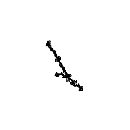 CCOCCOCCOCCOCCOCCC(=O)NCCCOCCOCCOCCCNC(=O)[C@H](CCCCNC(=O)CC(C)CCCC(C)CCC1=C(C)CCCC1(C)C)NC(=O)CC(C)CCCC(C)CCC1=C(C)CCCC1(C)C